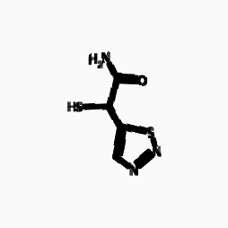 NC(=O)C(S)c1cnns1